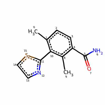 Cc1ccc(C(N)=O)c(C)c1-c1nccs1